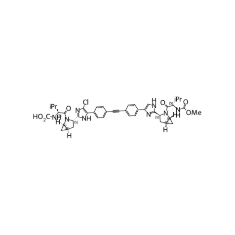 COC(=O)N[C@H](C(=O)N1[C@@H]2C[C@@H]2C[C@H]1c1nc(-c2ccc(C#Cc3ccc(-c4[nH]c([C@@H]5C[C@H]6C[C@H]6N5C(=O)[C@@H](NC(=O)O)C(C)C)nc4Cl)cc3)cc2)c[nH]1)C(C)C